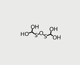 OC(O)SOSC(O)O